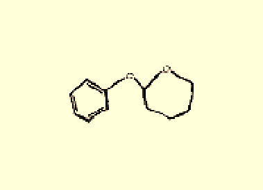 [c]1ccc(OC2CCCCO2)cc1